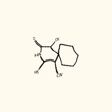 N#CC1=C(S)NC(=O)C(C#N)C12CCCCC2